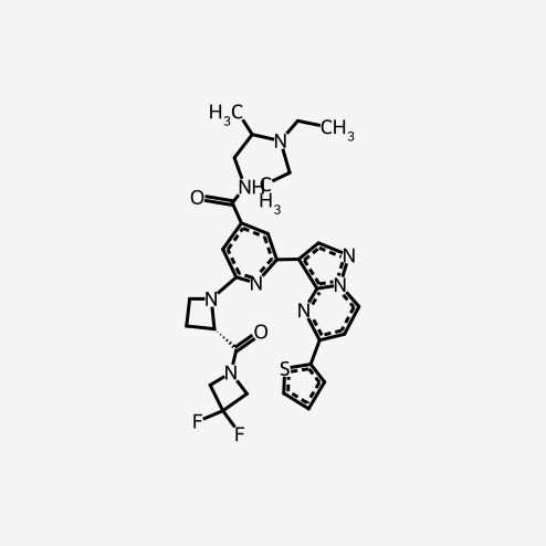 CCN(CC)C(C)CNC(=O)c1cc(-c2cnn3ccc(-c4cccs4)nc23)nc(N2CC[C@H]2C(=O)N2CC(F)(F)C2)c1